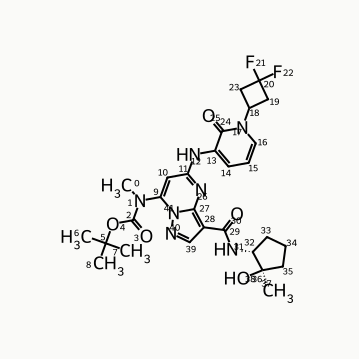 CN(C(=O)OC(C)(C)C)c1cc(Nc2cccn(C3CC(F)(F)C3)c2=O)nc2c(C(=O)N[C@@H]3CCC[C@@]3(C)O)cnn12